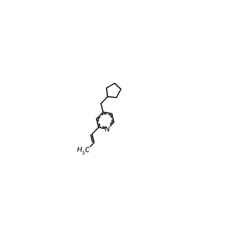 C/C=C/c1cc(CC2CCCC2)ccn1